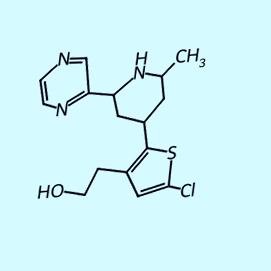 CC1CC(c2sc(Cl)cc2CCO)CC(c2cnccn2)N1